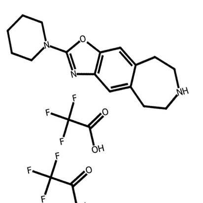 O=C(O)C(F)(F)F.O=C(O)C(F)(F)F.c1c2c(cc3oc(N4CCCCC4)nc13)CCNCC2